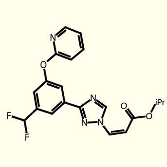 CC(C)OC(=O)/C=C\n1cnc(-c2cc(Oc3ccccn3)cc(C(F)F)c2)n1